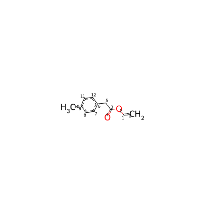 C=COC(=O)Cc1ccc(C)cc1